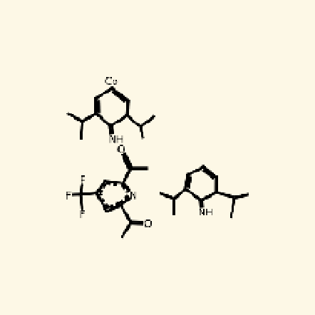 CC(=O)c1cc(C(F)(F)F)cc(C(C)=O)n1.CC(C)C1=CC=CC(C(C)C)C1=N.CC(C)C1=CC=CC(C(C)C)C1=N.[Co]